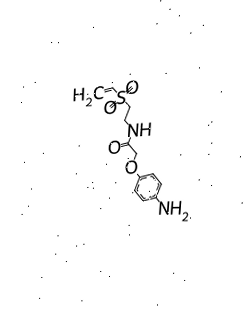 C=CS(=O)(=O)CCNC(=O)COc1ccc(N)cc1